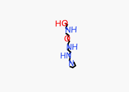 OCCNCCOCCNCCNCCN1CCCC1